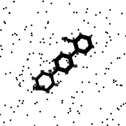 Fc1ccccc1-c1ccc(N2CCNCC2)cc1